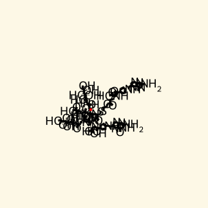 CNC(=O)[C@H](CSSCCOC(=O)CC[C@H](NC(=O)c1ccc(NCc2cnc3nc(N)nc(C)c3n2)cc1)C(=O)O)NC(=O)[C@H](CCC(=O)NC[C@H](O)[C@@H](O)[C@H](O)[C@H](O)CO)NC(=O)[C@H](CCC(=O)O)NC(=O)[C@H](CCC(=O)NC[C@H](O)[C@@H](O)[C@H](O)[C@H](O)CO)NC(=O)CC[C@H](NC(=O)c1ccc(NCc2cnc3nc(N)[nH]c(=O)c3n2)cc1)C(=O)O